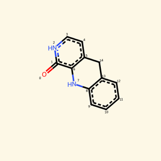 O=c1[nH]ccc2c1Nc1ccccc1C2